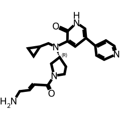 NCC=CC(=O)N1CC[C@@H](N(CC2CC2)c2cc(-c3ccncc3)c[nH]c2=O)C1